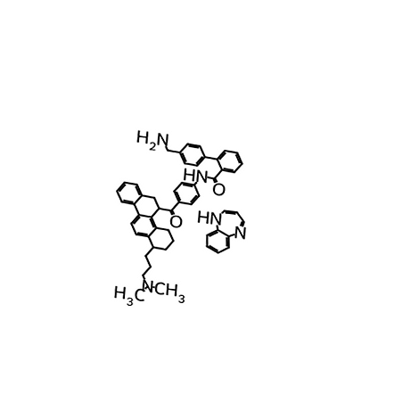 C1=CNc2ccccc2N=C1.CN(C)CCCC1CCCc2c1ccc1c2C(C(=O)c2ccc(NC(=O)c3ccccc3-c3ccc(CN)cc3)cc2)Cc2ccccc2-1